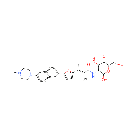 C/C(=C(/C#N)C(=O)N[C@H]1C(O)O[C@H](CO)[C@@H](O)[C@@H]1O)c1ccc(-c2ccc3cc(N4CCN(C)CC4)ccc3c2)o1